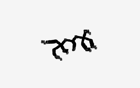 C=CC(C)(C=C)OC(=O)OC(C)(C=C)C=C